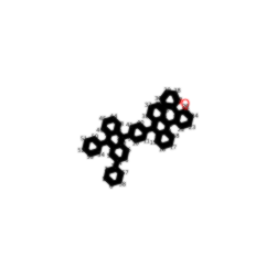 c1ccc(-c2ccc3c(-c4ccc(-c5c6ccccc6c(-c6cccc7oc8ccccc8c67)c6ccccc56)cc4)c4ccccc4c(-c4ccccc4)c3c2)cc1